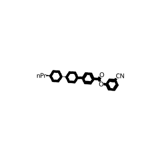 CCC[C@H]1CC[C@H](C2CCC(c3ccc(C(=O)Oc4cccc(C#N)c4)cc3)CC2)CC1